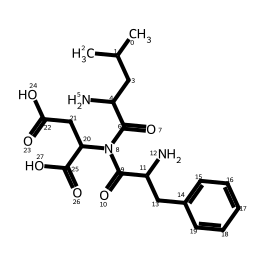 CC(C)CC(N)C(=O)N(C(=O)C(N)Cc1ccccc1)C(CC(=O)O)C(=O)O